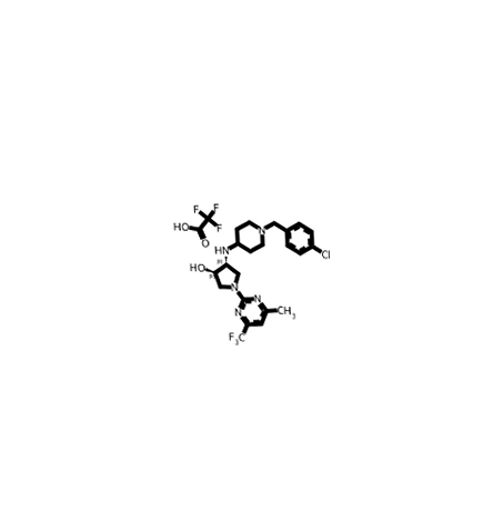 Cc1cc(C(F)(F)F)nc(N2C[C@@H](O)[C@H](NC3CCN(Cc4ccc(Cl)cc4)CC3)C2)n1.O=C(O)C(F)(F)F